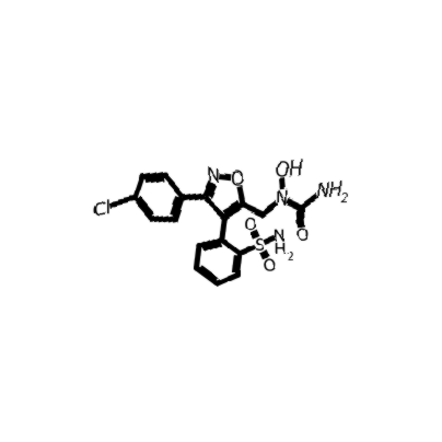 NC(=O)N(O)Cc1onc(-c2ccc(Cl)cc2)c1-c1ccccc1S(N)(=O)=O